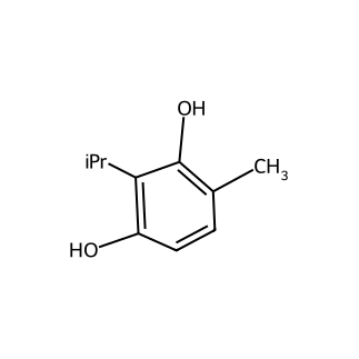 Cc1ccc(O)c(C(C)C)c1O